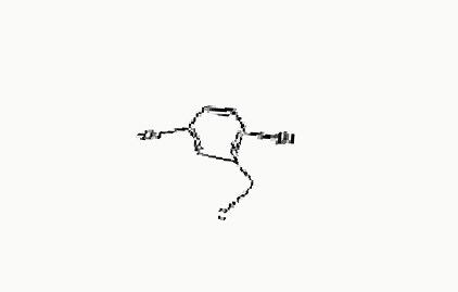 CC(C)(C)c1ccc(C(C)(C)C)c(C[O])c1